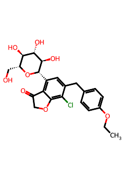 CCOc1ccc(Cc2cc([C@@H]3O[C@H](CO)[C@@H](O)[C@H](O)[C@H]3O)c3c(c2Cl)OCC3=O)cc1